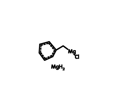 [Cl][Mg][CH2]c1ccccc1.[MgH2]